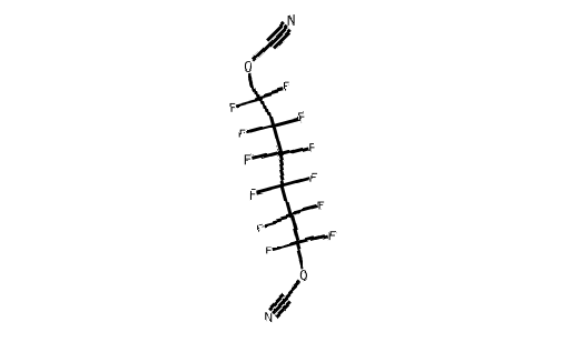 N#COC(F)(F)C(F)(F)C(F)(F)C(F)(F)C(F)(F)C(F)(F)OC#N